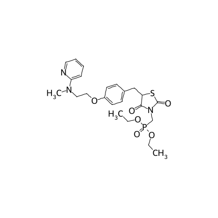 CCOP(=O)(CN1C(=O)SC(Cc2ccc(OCCN(C)c3ccccn3)cc2)C1=O)OCC